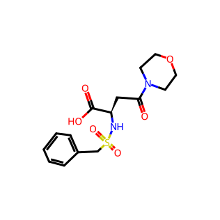 O=C(O)[C@@H](CC(=O)N1CCOCC1)NS(=O)(=O)Cc1ccccc1